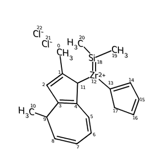 CC1=CC2=C(C=CC=CC2C)[CH]1[Zr+2]([C]1=CC=CC1)=[Si](C)C.[Cl-].[Cl-]